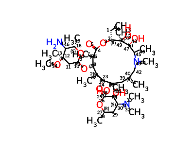 CC[C@H]1OC(=O)[C@H](C)[C@@H](O[C@H]2C[C@@](C)(OC)C(N)[C@H](C)O2)[C@H](C)[C@@H](O[C@@H]2O[C@H](C)C[C@H](N(C)C)[C@H]2O)[C@](C)(O)C[C@@H](C)CN(C)C(C)[C@@H](O)[C@]1(C)O